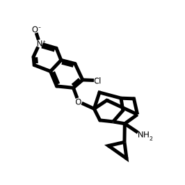 NC1(C2CC2)C2CC3CC1CC(Oc1cc4cc[n+]([O-])cc4cc1Cl)(C3)C2